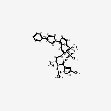 CCCN(C(=O)c1cc(C)n[nH]1)[C@H](CC)CCc1nc2c(-c3ccc(-c4ccccc4)nc3)ccn2c(N)c1S(C)(=O)=O